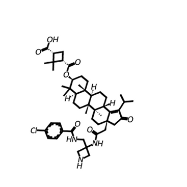 CC(C)C1=C2[C@H]3CC[C@@H]4[C@@]5(C)CC[C@H](OC(=O)[C@H]6C[C@@H](C(=O)O)C6(C)C)C(C)(C)[C@@H]5CC[C@@]4(C)[C@]3(C)CC[C@@]2(CC(=O)NC2(CNC(=O)c3ccc(Cl)cc3)CNC2)CC1=O